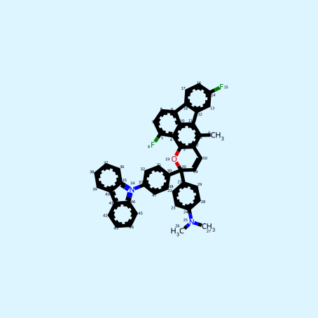 Cc1c2c(c3c(F)ccc4c3c1-c1cc(F)ccc1-4)OC(c1ccc(N(C)C)cc1)(c1ccc(-n3c4ccccc4c4ccccc43)cc1)C=C2